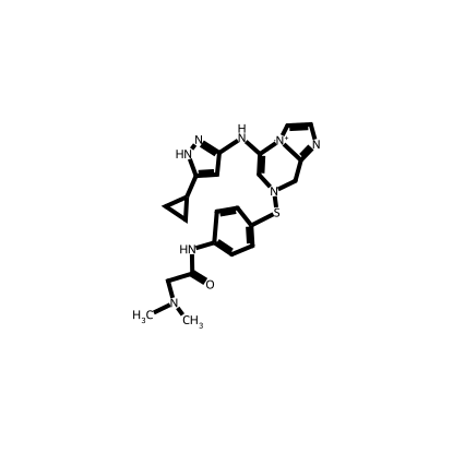 CN(C)CC(=O)Nc1ccc(SN2C=C(Nc3cc(C4CC4)[nH]n3)[N+]3C=CN=C3C2)cc1